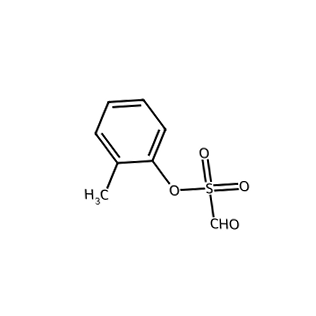 Cc1ccccc1OS(=O)(=O)C=O